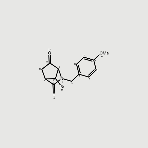 COc1ccc(CN2C(=O)C3CC(=O)C2C3Br)cc1